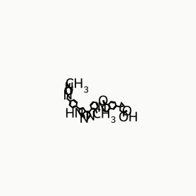 Cc1c(-c2ncnc3[nH]c(-c4ccc(CN5CCN(C)CC5)cc4)cc23)cccc1N1CCc2cc(C3(CC(=O)O)CC3)ccc2C1=O